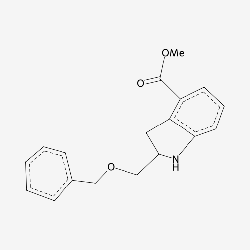 COC(=O)c1cccc2c1CC(COCc1ccccc1)N2